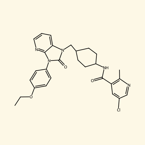 CCOc1ccc(-n2c(=O)n(CC3CCC(NC(=O)c4cc(Cl)cnc4C)CC3)c3cccnc32)cc1